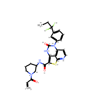 C=CC(=O)N1CCCC(NC(=O)c2sc3nccc4c3c2NC(=O)N4c2cccc(C(F)(F)CC)c2)C1